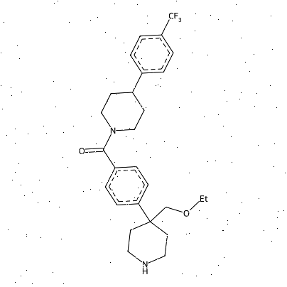 CCOCC1(c2ccc(C(=O)N3CCC(c4ccc(C(F)(F)F)cc4)CC3)cc2)CCNCC1